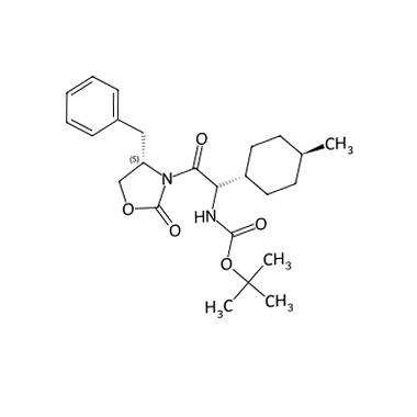 CC(C)(C)OC(=O)NC(C(=O)N1C(=O)OC[C@@H]1Cc1ccccc1)[C@H]1CC[C@H](C)CC1